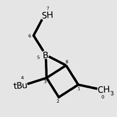 CC1CC2(C(C)(C)C)B(CS)C12